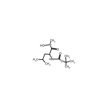 CC(C)CC(NC(=O)OC(C)(C)C)C(=O)N(C)O